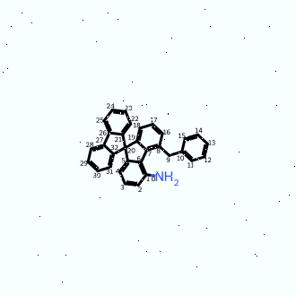 Nc1cccc2c1-c1c(Cc3ccccc3)cccc1C21c2ccccc2-c2ccccc21